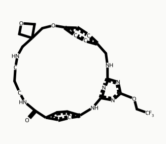 O=C1NCCCNCC2(COC2)COc2ccc(cc2)CNc2nc(nc(OCC(F)(F)F)n2)Nc2ccc1cc2